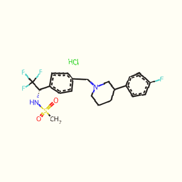 CS(=O)(=O)N[C@@H](c1ccc(CN2CCCC(c3ccc(F)cc3)C2)cc1)C(F)(F)F.Cl